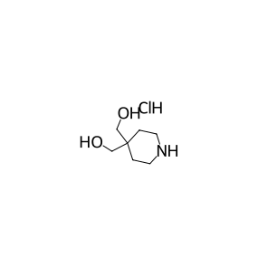 Cl.OCC1(CO)CCNCC1